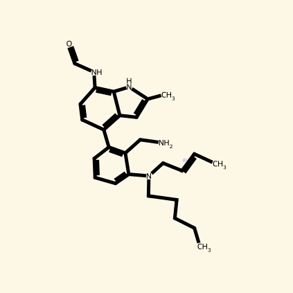 C/C=C/CN(CCCCC)c1cccc(-c2ccc(NC=O)c3[nH]c(C)cc23)c1CN